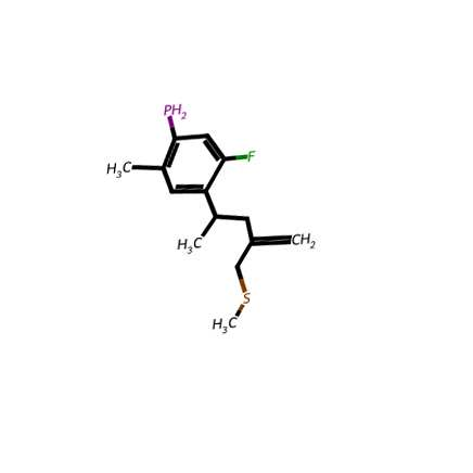 C=C(CSC)CC(C)c1cc(C)c(P)cc1F